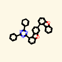 C1=CC(c2nc(-c3ccccc3)nc(-c3cccc4oc5cc(-c6cccc7oc8ccccc8c67)ccc5c34)n2)=CCC1